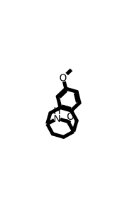 COc1ccc2c(c1)CC1CCC(C2)C(=O)N1